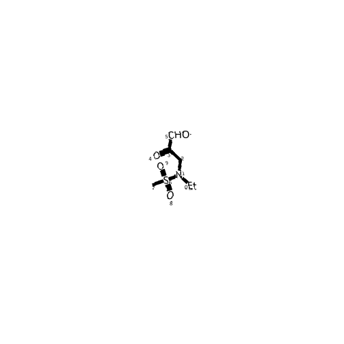 CCN(CC(=O)[C]=O)S(C)(=O)=O